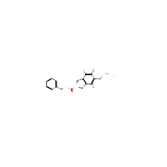 CCOC(=O)[C@@H](OC(C)(C)C)c1c(C)c(C)c2c(c1C)CN(C(=O)OCc1ccccc1)C2